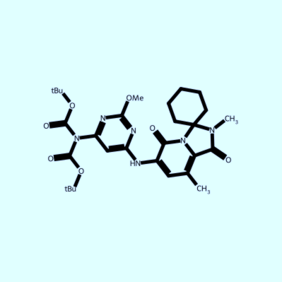 COc1nc(Nc2cc(C)c3n(c2=O)C2(CCCCC2)N(C)C3=O)cc(N(C(=O)OC(C)(C)C)C(=O)OC(C)(C)C)n1